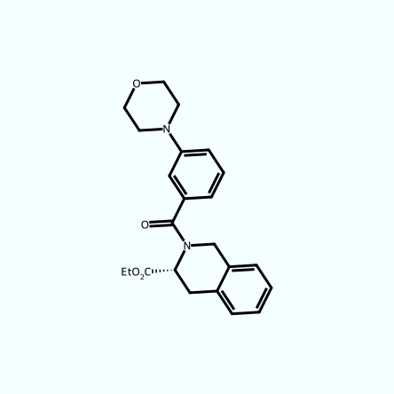 CCOC(=O)[C@H]1Cc2ccccc2CN1C(=O)c1cccc(N2CCOCC2)c1